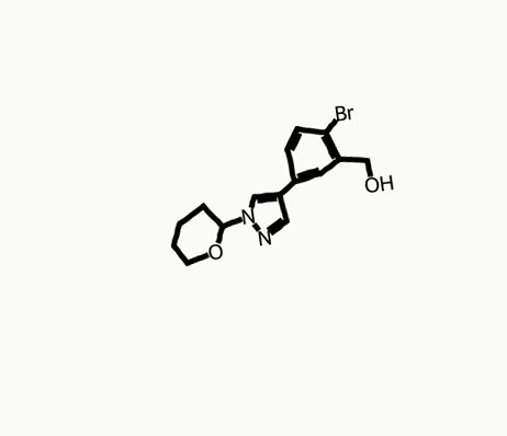 OCc1cc(-c2cnn(C3CCCCO3)c2)ccc1Br